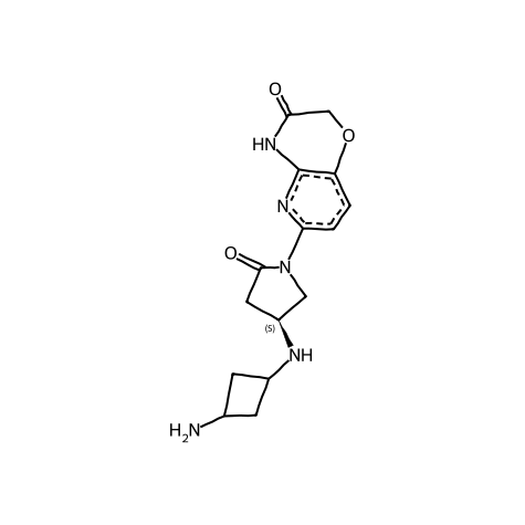 NC1CC(N[C@H]2CC(=O)N(c3ccc4c(n3)NC(=O)CO4)C2)C1